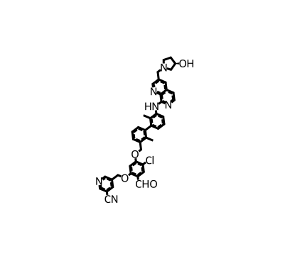 Cc1c(COc2cc(OCc3cncc(C#N)c3)c(C=O)cc2Cl)cccc1-c1cccc(Nc2nccc3cc(CN4CC[C@@H](O)C4)cnc23)c1C